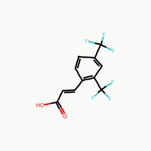 O=C(O)C=Cc1ccc(C(F)(F)F)cc1C(F)(F)F